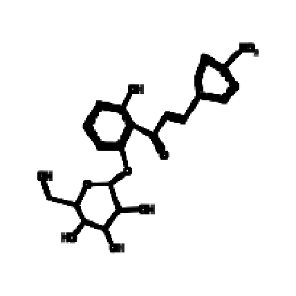 O=C(C=Cc1ccc([N+](=O)[O-])cc1)c1c(O)cccc1OC1OC(CO)C(O)C(O)C1O